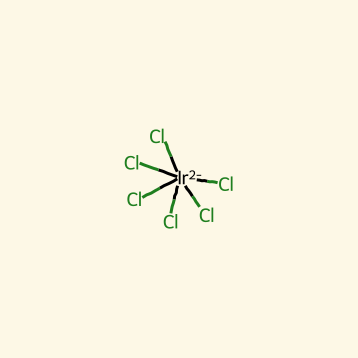 [Cl][Ir-2]([Cl])([Cl])([Cl])([Cl])[Cl]